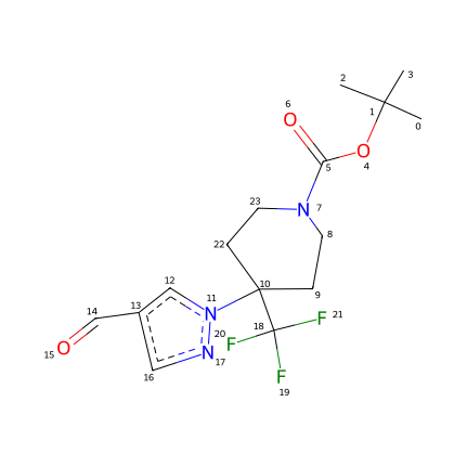 CC(C)(C)OC(=O)N1CCC(n2cc(C=O)cn2)(C(F)(F)F)CC1